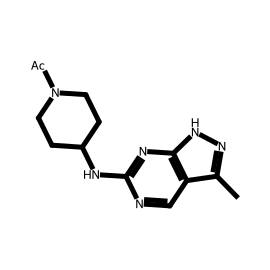 CC(=O)N1CCC(Nc2ncc3c(C)n[nH]c3n2)CC1